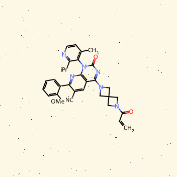 C=CC(=O)N1CC2(C1)CN(c1nc(=O)n(-c3c(C)ccnc3C(C)C)c3nc(-c4ccccc4OC)c(C#N)cc13)C2